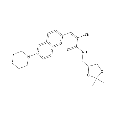 CC1(C)OCC(CNC(=O)C(C#N)=Cc2ccc3cc(N4CCCCC4)ccc3c2)O1